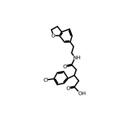 O=C(O)CC(CC(=O)NCCc1ccc2c(c1)OCC2)c1ccc(Cl)cc1